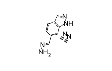 C#N.C#N.NN=Cc1ccc2cn[nH]c2c1